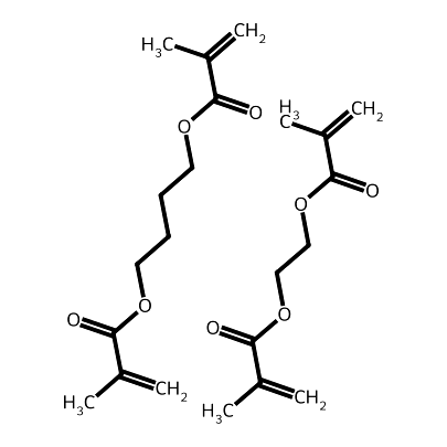 C=C(C)C(=O)OCCCCOC(=O)C(=C)C.C=C(C)C(=O)OCCOC(=O)C(=C)C